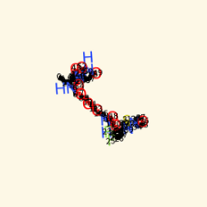 C=C/C=C(/NCCOCCOCCOCCNC(=O)COC1C(F)=C(F)C=CC1c1csc(N2CCOCC2)n1)C1=CC(=O)N(C2CCC(=O)NC2=O)C1=O